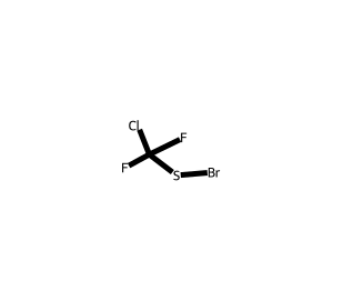 FC(F)(Cl)SBr